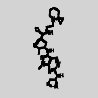 Cc1ncc(C(=O)NCCN2CCCCC23CC3)cc1Nc1nn(C)c2nc(Nc3cncnc3)ncc12